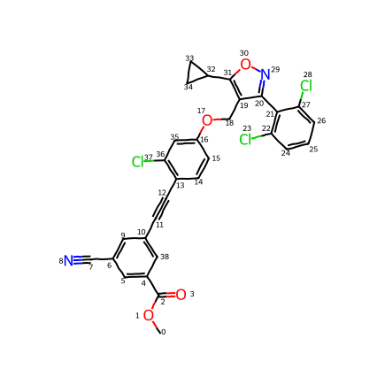 COC(=O)c1cc(C#N)cc(C#Cc2ccc(OCc3c(-c4c(Cl)cccc4Cl)noc3C3CC3)cc2Cl)c1